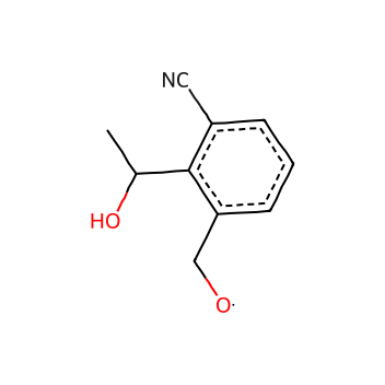 CC(O)c1c(C#N)cccc1C[O]